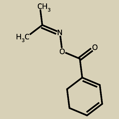 CC(C)=NOC(=O)C1=CC=CCC1